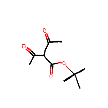 CC(=O)C(C(C)=O)C(=O)OC(C)(C)C